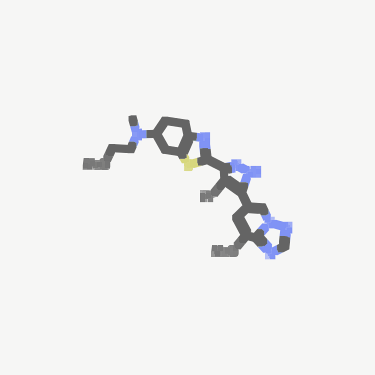 COCCN(C)C1CCc2nc(-c3n[nH]c(-c4cc(OC)c5ncnn5c4)c3C(C)C)sc2C1